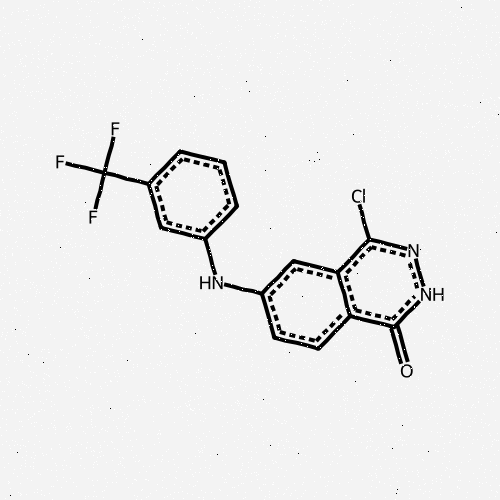 O=c1[nH]nc(Cl)c2cc(Nc3cccc(C(F)(F)F)c3)ccc12